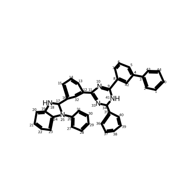 c1ccc(-c2cccc(C3=NC(c4cccc(C5Nc6ccccc6N5c5ccccc5)c4)=NC(c4ccccc4)N3)c2)cc1